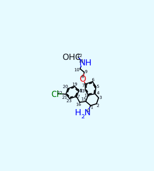 NC1CCc2ccc(OCCNC=O)cc2C1Cc1cccc(Cl)c1